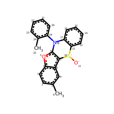 Cc1ccc2oc3c(c2c1)[S+]([O-])c1ccccc1N3c1ccccc1C